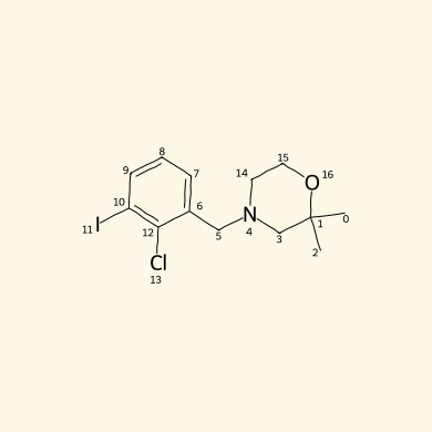 CC1(C)CN(Cc2cccc(I)c2Cl)CCO1